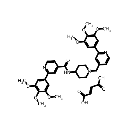 COc1cc(-c2cc(CN3CCC(NC(=O)c4ccnc(-c5cc(OC)c(OC)c(OC)c5)c4)CC3)ccn2)cc(OC)c1OC.O=C(O)C=CC(=O)O